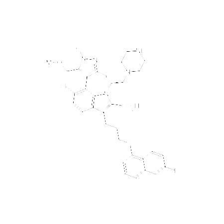 COCc1c(-c2c(Cl)ccc3c(CCCOc4cccc5cc(F)ccc45)c(C(=O)O)n(CCN4CCNCC4)c23)c(C)nn1C